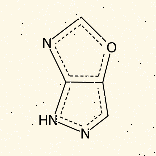 c1nc2[nH]ncc2o1